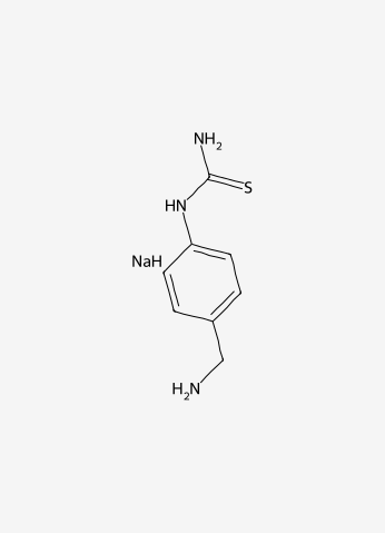 NCc1ccc(NC(N)=S)cc1.[NaH]